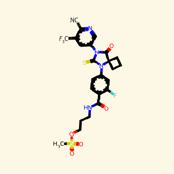 CS(=O)(=O)OCCCNC(=O)c1ccc(N2C(=S)N(c3cnc(C#N)c(C(F)(F)F)c3)C(=O)C23CCC3)cc1F